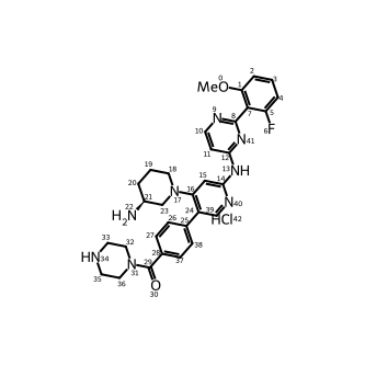 COc1cccc(F)c1-c1nccc(Nc2cc(N3CCC[C@H](N)C3)c(-c3ccc(C(=O)N4CCNCC4)cc3)cn2)n1.Cl